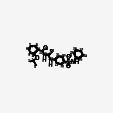 CC(C)Oc1ccccc1C(=O)NC(=S)Nc1ccc(S(=O)(=O)Nc2ccccc2)cc1